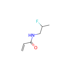 C=CC(=O)NCC(C)F